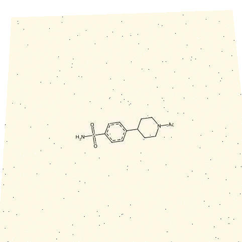 CC(=O)N1CCC(c2ccc(S(N)(=O)=O)cc2)CC1